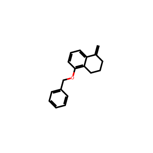 C=C1CCCc2c(OCc3ccccc3)cccc21